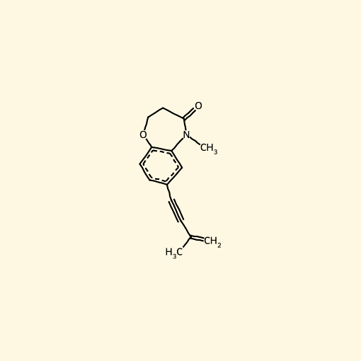 C=C(C)C#Cc1ccc2c(c1)N(C)C(=O)CCO2